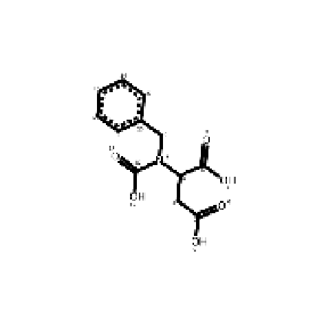 O=C(O)CC(C(=O)O)N(Cc1ccccc1)C(=O)O